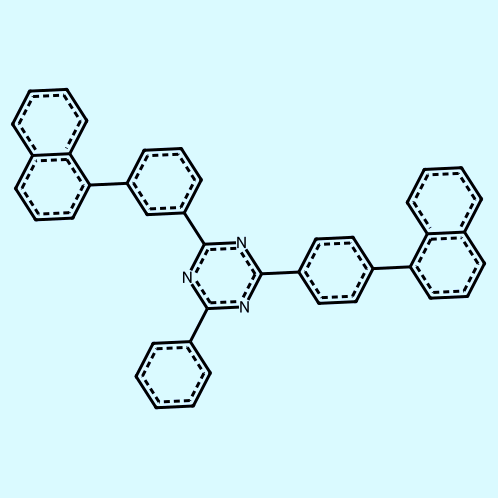 c1ccc(-c2nc(-c3ccc(-c4cccc5ccccc45)cc3)nc(-c3cccc(-c4cccc5ccccc45)c3)n2)cc1